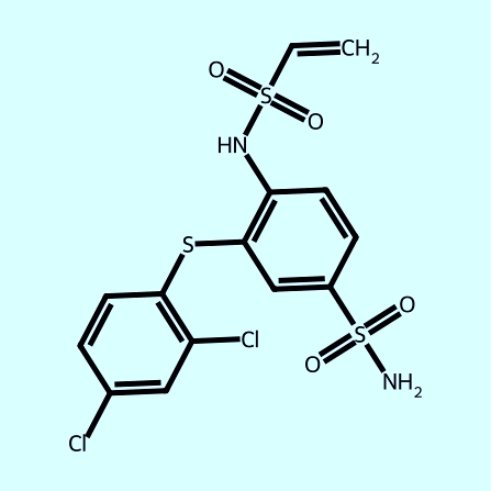 C=CS(=O)(=O)Nc1ccc(S(N)(=O)=O)cc1Sc1ccc(Cl)cc1Cl